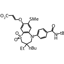 CCCCC1(CC)CN(c2ccc(C(=O)NC(C)(C)C)cc2)c2cc(SC)c(OC=CC(=O)O)cc2S(=O)(=O)C1